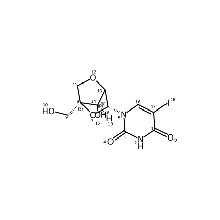 O=c1[nH]c(=O)n([C@@H]2O[C@@]3(CO)COC2[C@H]3O)cc1I